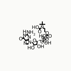 CC(C)(C)N(CCOP(=O)(O)OP(=O)(O)OC[C@H]1O[C@@H](n2cnc3c(=O)[nH]c(N)nc32)[C@H](O)[C@H]1O)C(=O)O